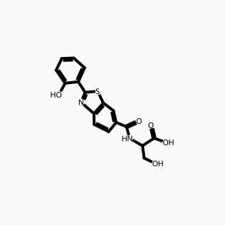 O=C(NC(CO)C(=O)O)c1ccc2nc(-c3ccccc3O)sc2c1